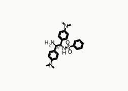 CN(C)c1ccc([C@@H](N)[C@H](NS(=O)(=O)c2ccccc2)c2ccc(N(C)C)cc2)cc1